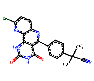 CC(C)(C#N)c1ccc(-c2nc3ccc(Cl)nc3c3[nH]c(=O)[nH]c(=O)c23)cc1